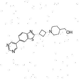 OCC1CCN([C@H]2C[C@@H](c3nc4ccc(-c5cncnc5)cc4s3)C2)CC1